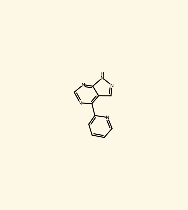 c1ccc(-c2ncnc3[nH]ncc23)nc1